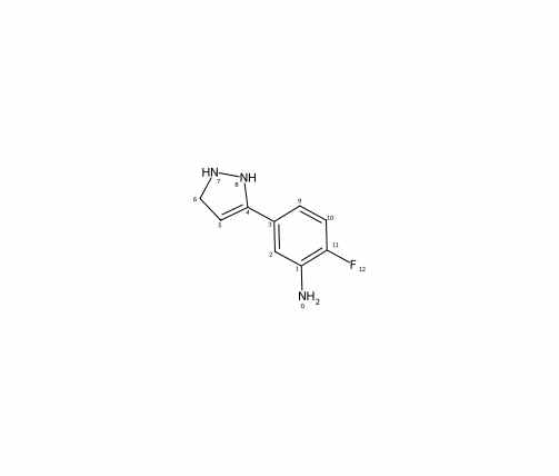 Nc1cc(C2=CCNN2)ccc1F